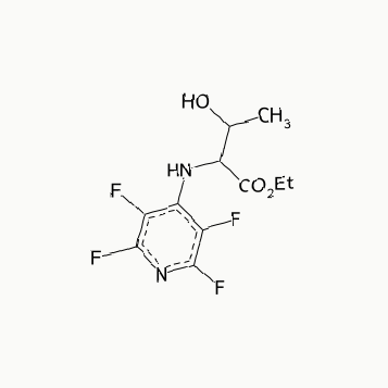 CCOC(=O)C(Nc1c(F)c(F)nc(F)c1F)C(C)O